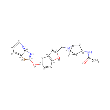 CC(=O)N[C@H]1CC2CC1CN2Cc1cc2cc(Oc3nc4ncccc4s3)ccc2o1